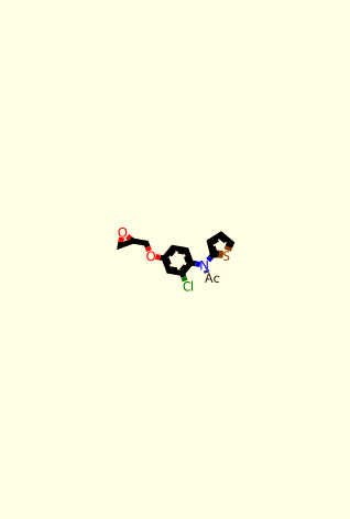 CC(=O)N(c1cccs1)c1ccc(OCC2CO2)cc1Cl